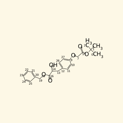 CC(C)(C)OC(=O)COc1ccc(CC(O)C(=O)OCc2ccccc2)cc1